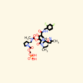 CC1=NO[C@@]2(CC[C@H](C)N3C[C@H]2n2cc(C(=O)NCc4ccc(F)cc4F)c(=O)c(OC(=O)N(C)C[C@@H]4CCCN4C(=O)OCOP(=O)(O)O)c2C3=O)C1